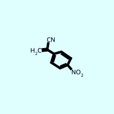 C=C(C#N)c1ccc([N+](=O)[O-])cc1